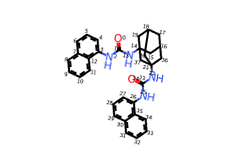 O=C(Nc1cccc2ccccc12)NC12CC3CC(C1)CC(NC(=O)Nc1cccc4ccccc14)(C3)C2